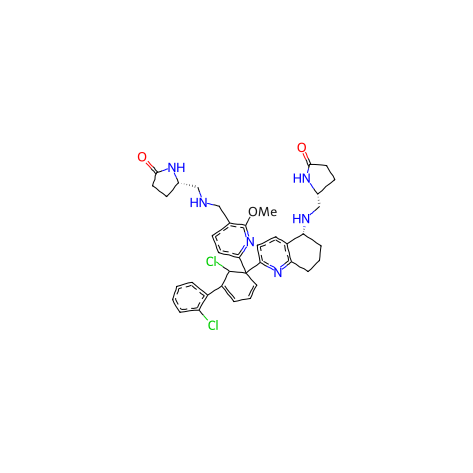 COc1nc(C2(c3ccc4c(n3)CCC[C@H]4NC[C@H]3CCC(=O)N3)C=CC=C(c3ccccc3Cl)C2Cl)ccc1CNC[C@@H]1CCC(=O)N1